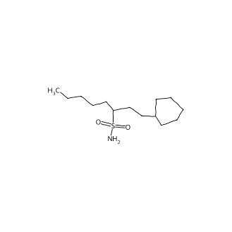 CCCCCC(CCC1CCCCC1)S(N)(=O)=O